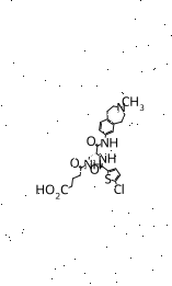 CN1CCc2ccc(NC(=O)[C@@H](CNC(=O)CCCC(=O)O)NC(=O)c3ccc(Cl)s3)cc2CC1